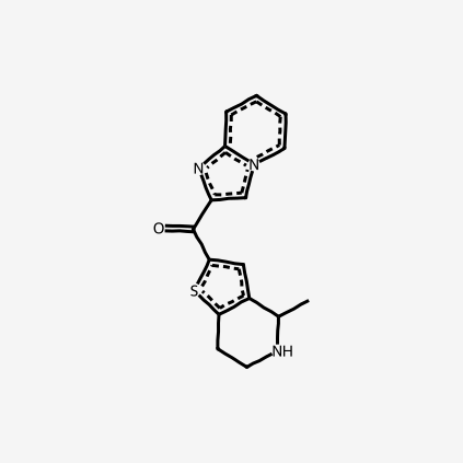 CC1NCCc2sc(C(=O)c3cn4ccccc4n3)cc21